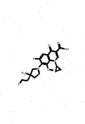 COc1c(N2CCC(N)(CCF)C2)c(F)cc2c(=O)c(C(=O)O)cn(C3CC3)c12